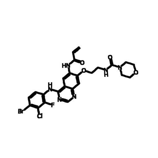 C=CC(=O)Nc1cc2c(Nc3ccc(Br)c(Cl)c3F)ncnc2cc1OCCNC(=O)N1CCOCC1